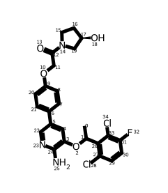 CC(Oc1cc(-c2ccc(OCC(=O)N3CC[C@@H](O)C3)cc2)cnc1N)c1c(Cl)ccc(F)c1Cl